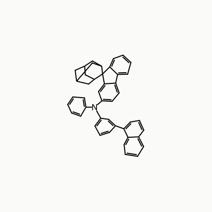 c1ccc(N(c2cccc(-c3cccc4ccccc34)c2)c2ccc3c(c2)C2(c4ccccc4-3)C3CC4CC(C3)CC2C4)cc1